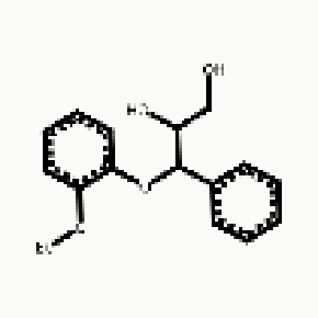 CCOc1ccccc1OC(c1ccccc1)C(O)CO